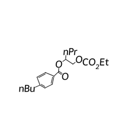 CCCCc1ccc(C(=O)OC(CCC)COC(=O)OCC)cc1